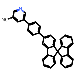 N#Cc1cncc(-c2ccc(-c3ccc4c(c3)-c3ccccc3C43c4ccccc4-c4ccccc43)cc2)c1